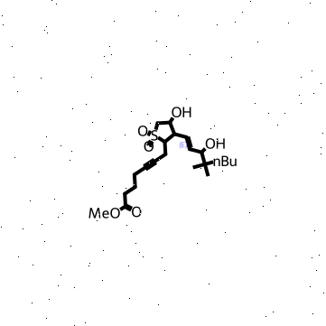 CCCCC(C)(C)C(O)/C=C/C1C(O)CS(=O)(=O)C1CC#CCCCC(=O)OC